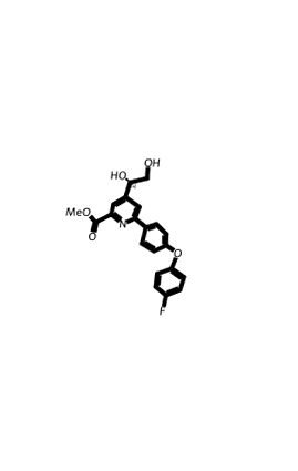 COC(=O)c1cc([C@H](O)CO)cc(-c2ccc(Oc3ccc(F)cc3)cc2)n1